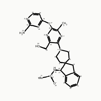 Cc1nc(N2CCC3(CC2)Cc2ccccc2[C@H]3N[S+]([O-])C(C)(C)C)c(CO)nc1Sc1ccnc(N)n1